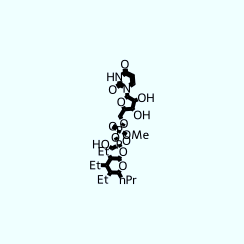 CCCC1OC(OP(=O)(CO)OP(=O)(OC)OCC2OC(n3ccc(=O)[nH]c3=O)C(O)C2O)C(CC)C(CC)C1CC